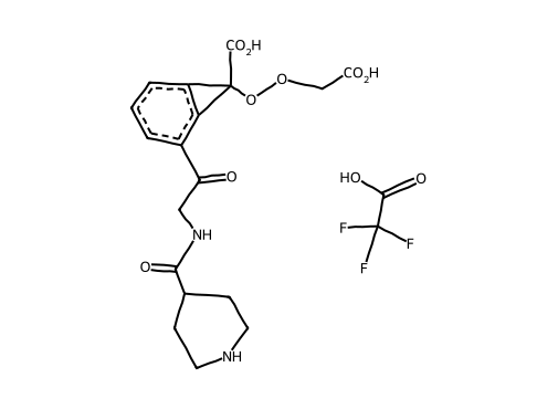 O=C(O)C(F)(F)F.O=C(O)COOC1(C(=O)O)c2cccc(C(=O)CNC(=O)C3CCNCC3)c21